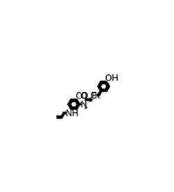 C=CCNc1ccc(C(=O)OCC)c(N(C)C(=O)COCc2ccc(O)cc2)c1